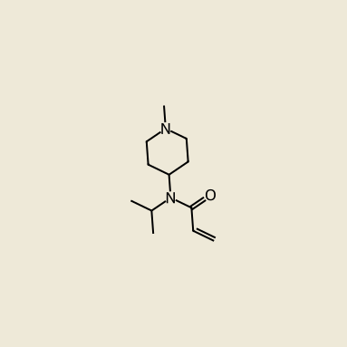 C=CC(=O)N(C(C)C)C1CCN(C)CC1